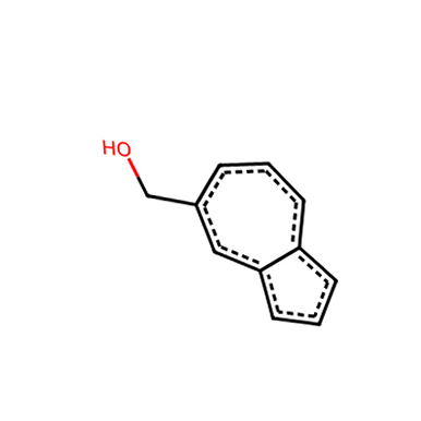 OCc1cccc2cccc-2c1